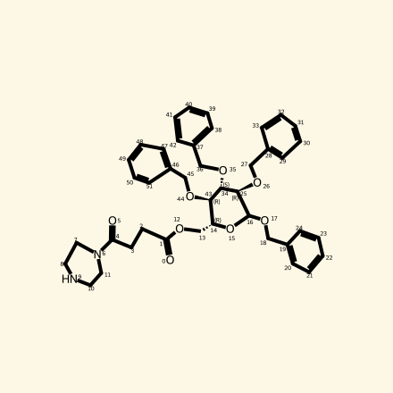 O=C(CCC(=O)N1CCNCC1)OC[C@H]1OC(OCc2ccccc2)[C@H](OCc2ccccc2)[C@@H](OCc2ccccc2)[C@@H]1OCc1ccccc1